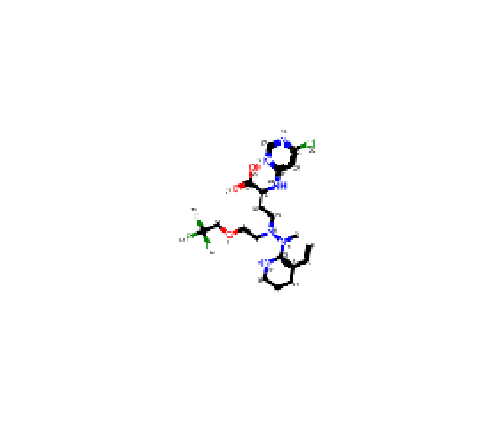 C=CC1=C(N(C)N(CCOCC(F)(F)F)CC[C@H](Nc2cc(Cl)ncn2)C(=O)O)NCCC1